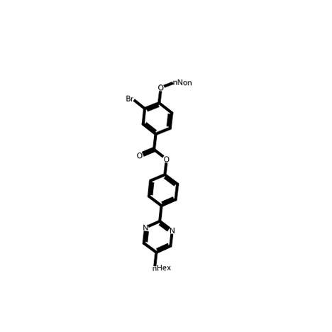 CCCCCCCCCOc1ccc(C(=O)Oc2ccc(-c3ncc(CCCCCC)cn3)cc2)cc1Br